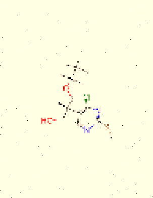 CSc1ncc([C@](C)(CO)CO[Si](C)(C)C(C)(C)C)c(Cl)n1